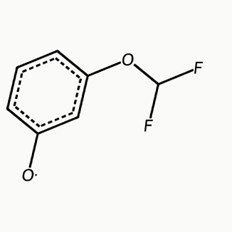 [O]c1cccc(OC(F)F)c1